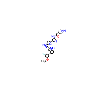 COc1cc(F)cc(-c2cccc3[nH]c(-c4n[nH]c5ccc(-c6cncc(NC(=O)CC7CCNCC7)c6)nc45)cc23)c1